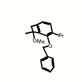 COC1(C)Cc2ccc(C(C)C)c(OCc3ccccc3)c21